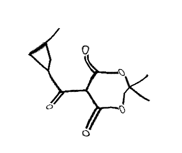 CC1CC1C(=O)C1C(=O)OC(C)(C)OC1=O